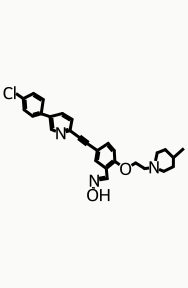 CC1CCN(CCOc2ccc(C#Cc3ccc(-c4ccc(Cl)cc4)cn3)cc2C=NO)CC1